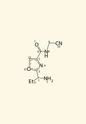 CCC(N)c1nc(C(=O)NCC#N)co1